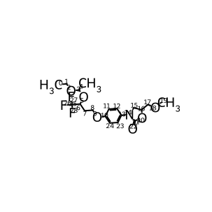 CCOC(C)OC(CCOc1ccc(N2CC(COC)OC2=O)cc1)C(F)(F)F